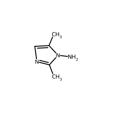 Cc1cnc(C)n1N